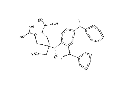 CC(c1ccccc1)c1ccc(C(O)C(CO)(COP(O)O)COP(O)O)c(C(C)c2ccccc2)c1